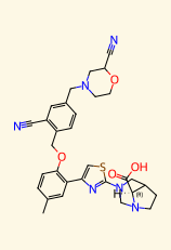 Cc1ccc(OCc2ccc(CN3CCOC(C#N)C3)cc2C#N)c(-c2csc(N3CC4CCN(C3)[C@H]4C(=O)O)n2)c1